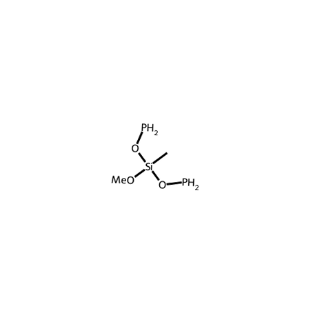 CO[Si](C)(OP)OP